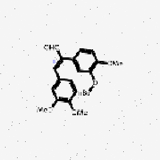 CCCCOc1cc(/C(C=O)=C\c2ccc(OC)c(OC)c2)ccc1OC